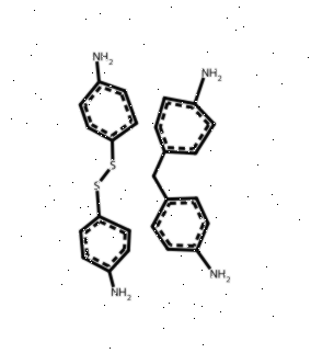 Nc1ccc(Cc2ccc(N)cc2)cc1.Nc1ccc(SSc2ccc(N)cc2)cc1